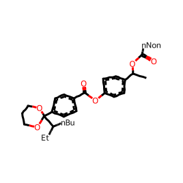 CCCCCCCCCC(=O)OC(C)c1ccc(OC(=O)c2ccc(C3(C(CC)CCCC)OCCCO3)cc2)cc1